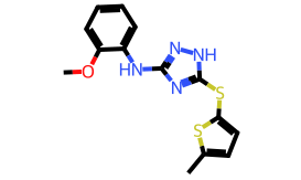 COc1ccccc1Nc1n[nH]c(Sc2ccc(C)s2)n1